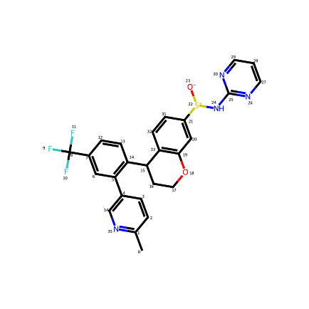 Cc1ccc(-c2cc(C(F)(F)F)ccc2C2CCOc3cc([S+]([O-])Nc4ncccn4)ccc32)cn1